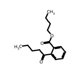 CCCCOC(=O)c1ccccc1C(=O)CCCC